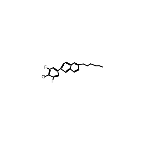 CCCCCCc1ccc2cc(-c3cc(F)c(Cl)c(F)c3)ccc2c1